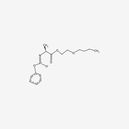 CCCCOCCOC(=O)[C@H](C)N=[P+]([O-])Oc1ccccc1